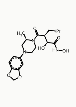 CC(C)C[C@H](C(=O)N1CCN(c2ccc3c(c2)OCO3)C[C@H]1C)[C@H](O)C(=O)NO